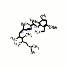 C=Cc1c(/N=C(\NC)C(C)/C=C\C(=C/C(C)C(C)C(C)CCN(C)CCC)CC)cc(C)cc1OC